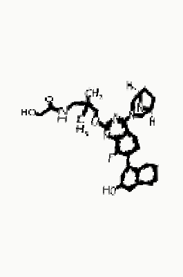 CC(C)(CNC(=O)CO)COc1nc(N2C[C@H]3CC[C@@H](C2)N3)c2ccc(-c3cc(O)cc4ccccc34)c(F)c2n1